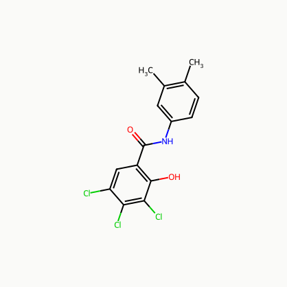 Cc1ccc(NC(=O)c2cc(Cl)c(Cl)c(Cl)c2O)cc1C